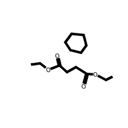 C1CCCCC1.CCOC(=O)CCC(=O)OCC